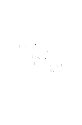 O=C(O)c1cn(-c2nccs2)c2nc(N3CC(C(O)NC4CCCOC4)C3)c(F)cc2c1=O